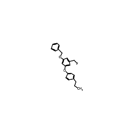 CCCc1ccc(Oc2cc(CF)cc(OCc3ccccc3)c2)cc1